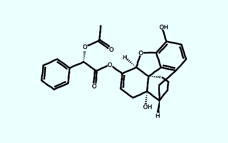 CC(=O)O[C@H](C(=O)OC1=CC[C@]2(O)[C@H]3CCC[C@]24c2c(ccc(O)c2O[C@H]14)C3)c1ccccc1